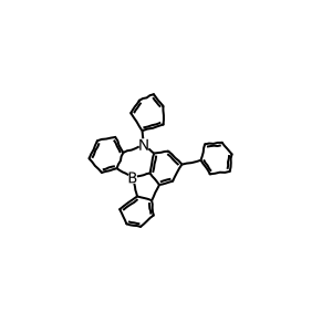 c1ccc(-c2cc3c4c(c2)N(c2ccccc2)c2ccccc2B4c2ccccc2-3)cc1